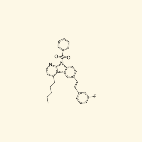 CCCCCc1ccnc2c1c1cc(C=Cc3cccc(F)c3)ccc1n2S(=O)(=O)c1ccccc1